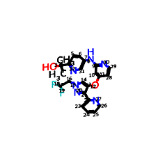 CC(C)(O)c1ccc(Nc2cc(Oc3cn(CC(F)F)nc3-c3ccccn3)ccn2)cn1